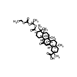 CCOC(=O)O[C@@H](C)OC(=O)[C@H]1CC[C@]2(C)[C@H]3C(=O)C=C4[C@@H]5C[C@@](C)(C(=O)O)CC[C@]5(C)CC[C@@]4(C)[C@]3(C)CC[C@H]2C1(C)C